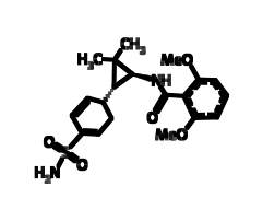 COc1cccc(OC)c1C(=O)N[C@H]1[C@H](C2C=CC(S(N)(=O)=O)=CC2)C1(C)C